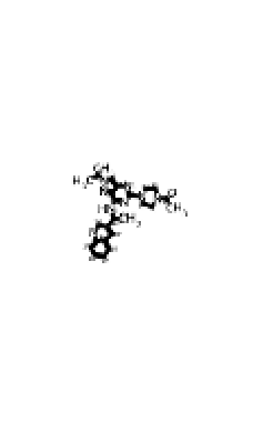 CC(=O)N1CCN(c2nc(NC(C)c3cnc4ccccc4c3)c3nn(C(C)C)cc3n2)CC1